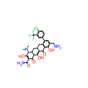 CN(C)[C@@H]1C(O)=C(C(N)=O)C(=O)C2C(O)=C3C(=O)c4c(O)c(CN)cc(-c5ccc(Cl)c(C(F)(F)F)c5)c4CC3CC21